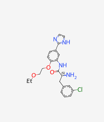 CCOCCOc1ccc(-c2ncc[nH]2)cc1NC(=O)[C@@H](N)Cc1cccc(Cl)c1